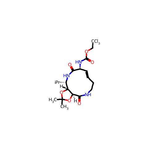 CC(C)[C@@H]1NC(=O)[C@@H](NC(=O)OCC(Cl)(Cl)Cl)/C=C/CCNC(=O)[C@H]2OC(C)(C)O[C@@H]21